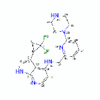 FC1(F)CC1c1c[nH]c2nccc(NCc3cccc(N4CCNCC4)n3)c12